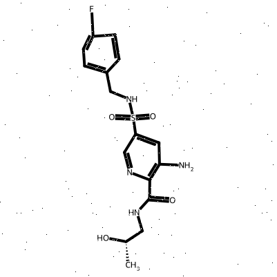 C[C@H](O)CNC(=O)c1ncc(S(=O)(=O)NCc2ccc(F)cc2)cc1N